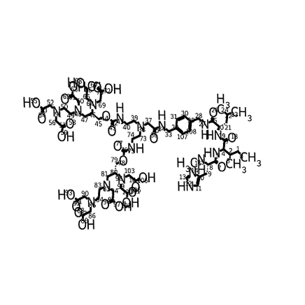 CC[C@@H](C)C(NC(=O)[C@H](Cc1c[nH]cn1)NC)C(=O)N[C@@H](CC(C)C)C(=O)NCc1ccc(CNC(=O)CN(CCNC(=O)OC[C@@H](CN(CCN(CC(=O)O)CC(=O)O)CC(=O)O)N(CC(=O)O)CC(=O)O)CCNC(=O)OC[C@@H](CN(CCN(CC(=O)O)CC(=O)O)CC(=O)O)N(CC(=O)O)CC(=O)O)cc1